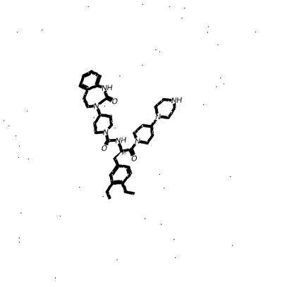 CCc1ccc(C[C@@H](NC(=O)N2CCC(N3CCc4ccccc4NC3=O)CC2)C(=O)N2CCC(N3CCNCC3)CC2)cc1CC